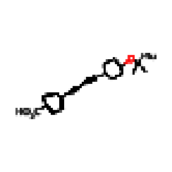 CC(C)(C)[Si](C)(C)O[C@H]1CC[C@@H](C#CC#Cc2ccc(C(=O)O)cc2)CC1